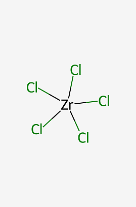 [Cl][Zr]([Cl])([Cl])([Cl])[Cl]